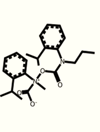 CCCN(C(=O)O[N+](C)(C(=O)[O-])c1ccccc1C(C)C)c1ccccc1C(C)C